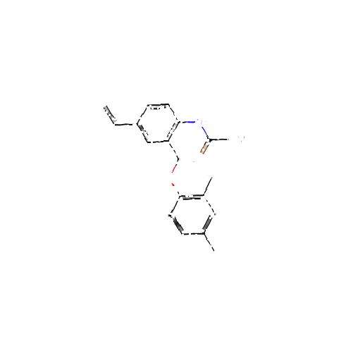 C=Cc1ccc(NC(=S)OC)c(COc2ccc(C)cc2C)c1